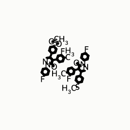 CSc1ccc(-c2cnn(-c3ccc(F)cc3)c(=O)c2-c2ccc(C)c(F)c2)cc1.Cc1ccc(-c2c(-c3ccc(S(C)(=O)=O)cc3)cnn(-c3ccc(F)cc3)c2=O)cc1F